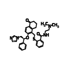 CN(C)CCNC(=O)c1ccccc1SCc1c(O[C@H](Cn2ccnc2)c2ccccc2)ccc2c1CCCC2=O